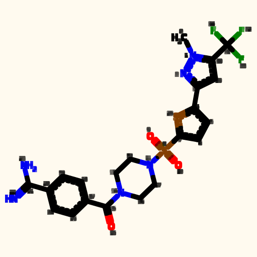 Cn1nc(-c2ccc(S(=O)(=O)N3CCN(C(=O)c4ccc(C(=N)N)cc4)CC3)s2)cc1C(F)(F)F